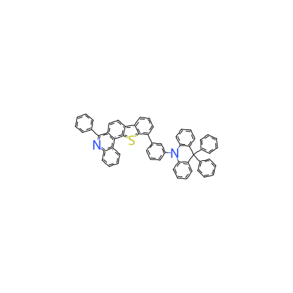 c1ccc(-c2nc3ccccc3c3c2ccc2c4cccc(-c5cccc(N6c7ccccc7C(c7ccccc7)(c7ccccc7)c7ccccc76)c5)c4sc23)cc1